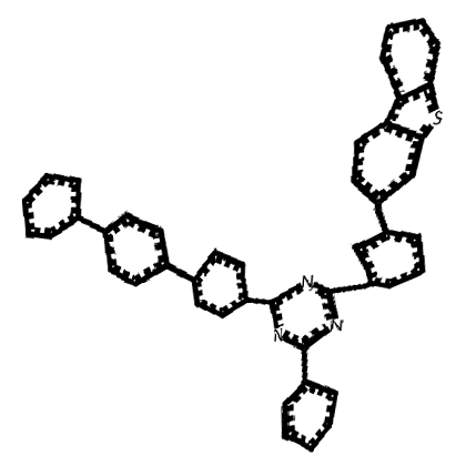 c1ccc(-c2ccc(-c3ccc(-c4nc(-c5ccccc5)nc(-c5cccc(-c6ccc7c(c6)sc6ccccc67)c5)n4)cc3)cc2)cc1